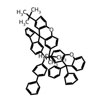 CC(C)(C)c1ccc2c(c1)C1(c3cc(C(C)(C)C)ccc3O2)c2ccccc2-c2ccc(N(c3ccc(-c4ccccc4)cc3)c3ccc4c(c3)C(c3ccccc3)(c3ccccc3)c3ccccc3O4)cc21